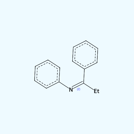 CC/C(=N/c1ccccc1)c1ccccc1